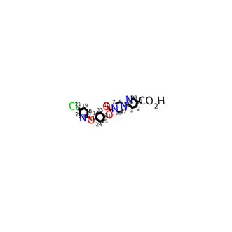 O=C(O)c1ccc(N2CCN(C(=O)Oc3ccc(Oc4ccc(Cl)cn4)cc3)CC2)nc1